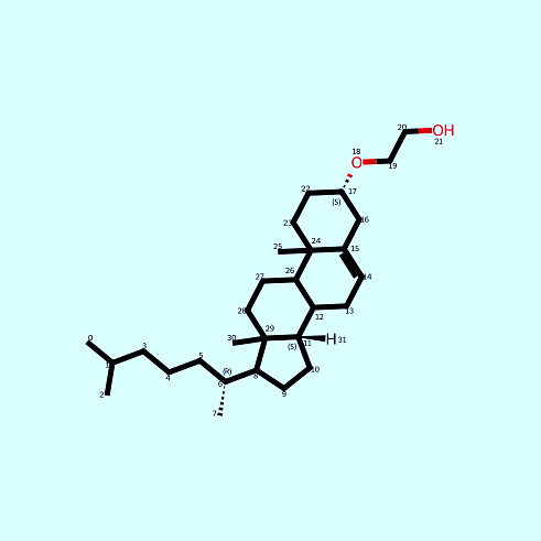 CC(C)CCC[C@@H](C)C1CC[C@H]2C3CC=C4C[C@@H](OCCO)CCC4(C)C3CCC12C